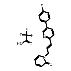 O=C(O)C(F)(F)F.O=c1ccccn1C/C=C/c1ccc(-c2ccc(F)cc2)cn1